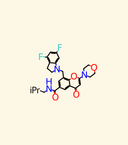 CC(C)CNC(=O)c1cc(CN2CCc3c(F)cc(F)cc32)c2oc(N3CCOCC3)cc(=O)c2c1